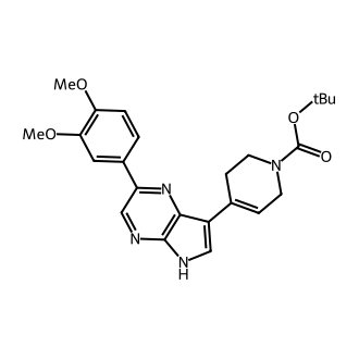 COc1ccc(-c2cnc3[nH]cc(C4=CCN(C(=O)OC(C)(C)C)CC4)c3n2)cc1OC